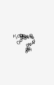 CC(C)CN1C(=O)[C@@](C)(CC(=O)N2CCC(C(=O)N3CCC(CC4CCN(CC5CCN(c6cccc(C7CCC(=O)NC7=O)c6)CC5)CC4)CC3)CC2)CC[C@H]1c1ccc(Cl)cc1